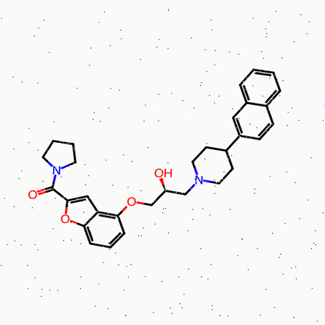 O=C(c1cc2c(OC[C@@H](O)CN3CCC(c4ccc5ccccc5c4)CC3)cccc2o1)N1CCCC1